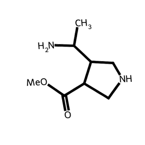 COC(=O)C1CNCC1C(C)N